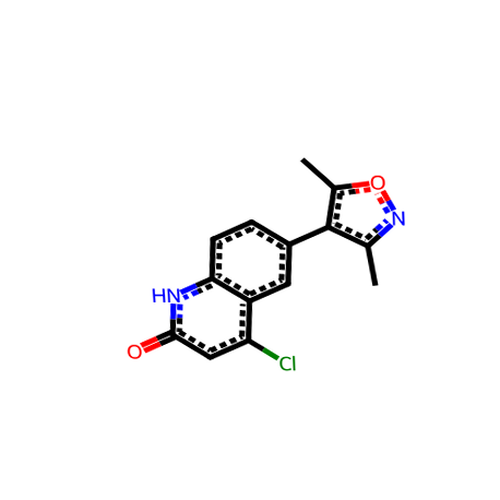 Cc1noc(C)c1-c1ccc2[nH]c(=O)cc(Cl)c2c1